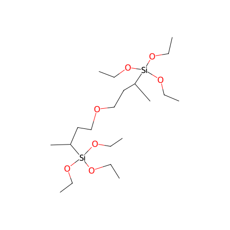 CCO[Si](OCC)(OCC)C(C)CCOCCC(C)[Si](OCC)(OCC)OCC